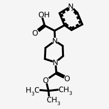 CC(C)(C)OC(=O)N1CCN(C(C(=O)O)c2cccnc2)CC1